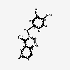 O=c1c2cnccc2ncn1Cc1ccc(F)c(F)c1